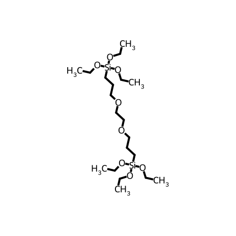 CCO[Si](CCCOCCOCCC[Si](OCC)(OCC)OCC)(OCC)OCC